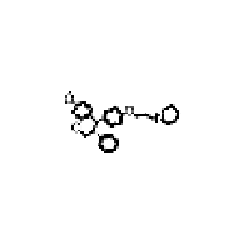 COc1ccc2c(c1)OC[C@H](c1ccccc1)[C@@H]2c1ccc(OCCCN2CCCCC2)cc1